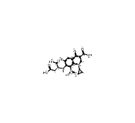 O=C(O)C[C@H](Nc1c(F)cc2c(=O)c(C(=O)O)cn(C3CC3)c2c1[N+](=O)[O-])C(=O)O